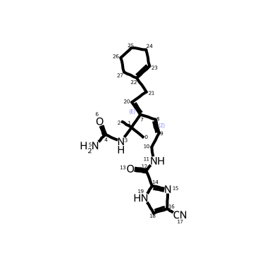 CC(C)(NC(N)=O)C(/C=C\CNC(=O)c1nc(C#N)c[nH]1)=C/CC1=CCCCC1